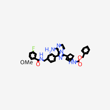 COc1ccc(F)cc1C(=O)NCc1ccc(-c2nc(C34CCC(NC(=O)OCc5ccccc5)(CC3)C4)n3ccnc(N)c23)cc1